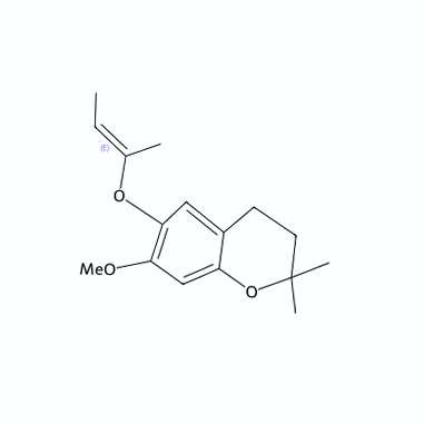 C/C=C(\C)Oc1cc2c(cc1OC)OC(C)(C)CC2